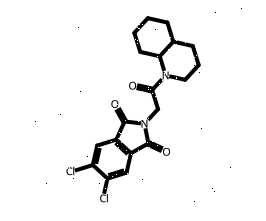 O=C1c2cc(Cl)c(Cl)cc2C(=O)N1CC(=O)N1CCCC2CCCCC21